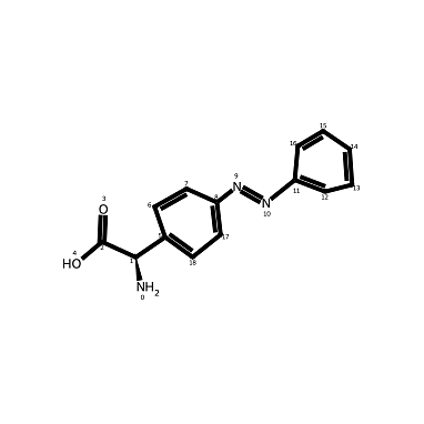 N[C@@H](C(=O)O)c1ccc(N=Nc2ccccc2)cc1